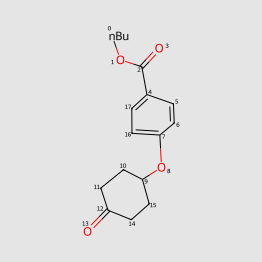 CCCCOC(=O)c1ccc(OC2CCC(=O)CC2)cc1